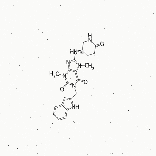 Cn1c(N[C@@H]2CCC(=O)NC2)nc2c1c(=O)n(Cc1cc3ccccc3[nH]1)c(=O)n2C